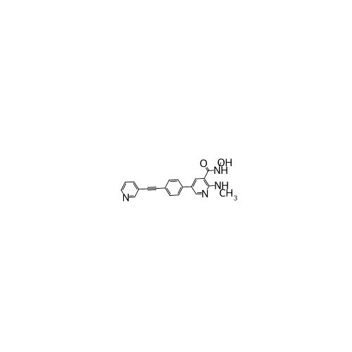 CNc1ncc(-c2ccc(C#Cc3cccnc3)cc2)cc1C(=O)NO